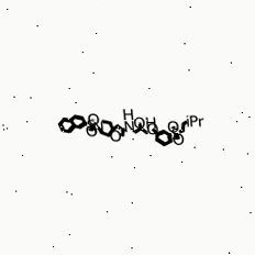 CC(C)CCS(=O)(=O)c1cccc(OCC(O)CNC2COC3(CCN(S(=O)(=O)c4ccc5ccccc5c4)CC3)C2)c1